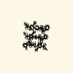 CCOC(=O)c1cc(C#N)c(N2CC(C(=O)NS(=O)(=O)Cc3cccc(C)c3)C2)nc1C.CCOC(=O)c1cc(C#N)c(N2CC(C(=O)NS(=O)(=O)Cc3ccccc3)C2)nc1C.CCOC(=O)c1cc(C#N)c(N2CCC(C(=O)NS(=O)(=O)Cc3ccccc3)CC2)nc1C